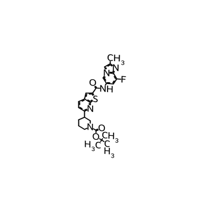 Cc1cn2cc(NC(=O)c3cc4ccc(C5CCCN(C(=O)OC(C)(C)C)C5)nc4s3)cc(F)c2n1